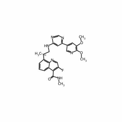 CNC(=O)c1c(F)cnc2c([C@H](C)CNc3cc(-c4cnc(OC)c(OC)c4)ncn3)cccc12